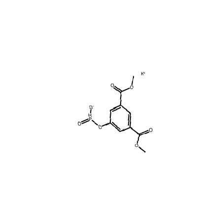 COC(=O)c1cc(O[PH](=O)[O-])cc(C(=O)OC)c1.[K+]